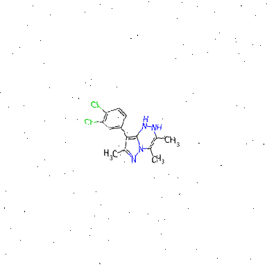 CC1=C(C)n2nc(C)c(-c3ccc(Cl)c(Cl)c3)c2NN1